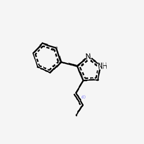 C/C=C/c1c[nH]nc1-c1ccccc1